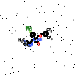 CN(C)Cc1[nH]nnc1CN1CC(=O)N[C@H](COCc2cc(C(F)(F)F)cc(C(F)(F)F)c2)[C@@H]1c1ccc(F)cc1.Cl.Cl